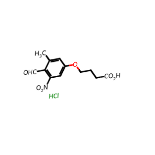 Cc1cc(OCCCC(=O)O)cc([N+](=O)[O-])c1C=O.Cl